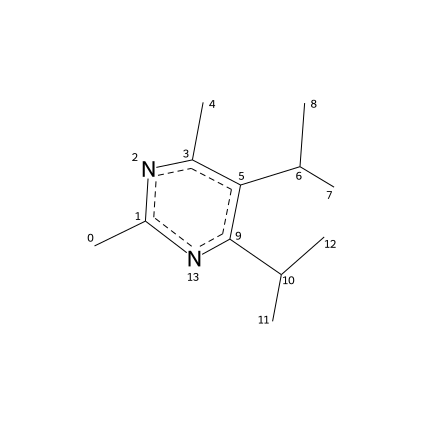 Cc1nc(C)c(C(C)C)c(C(C)C)n1